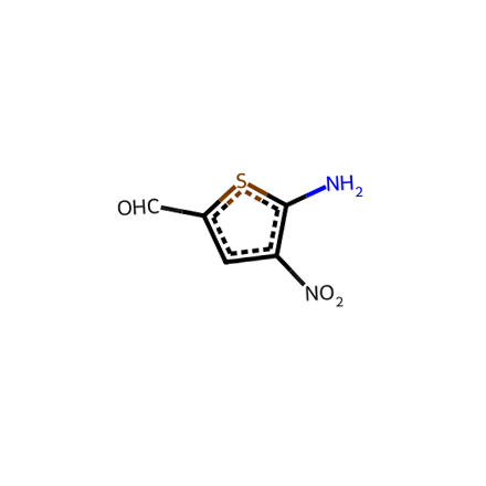 Nc1sc(C=O)cc1[N+](=O)[O-]